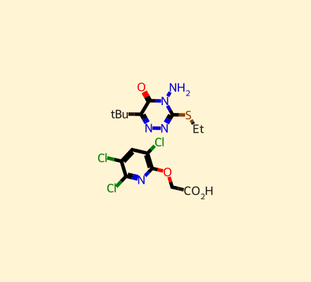 CCSc1nnc(C(C)(C)C)c(=O)n1N.O=C(O)COc1nc(Cl)c(Cl)cc1Cl